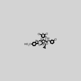 C[C@]1(C(=O)Nc2cccc(Cl)c2)[C@@H](c2cc(Cl)nc(Cl)c2)[C@@H]2Cn3nc4cc(C(=O)O)ccc4c3OC[C@@H]2N1CC1CC1